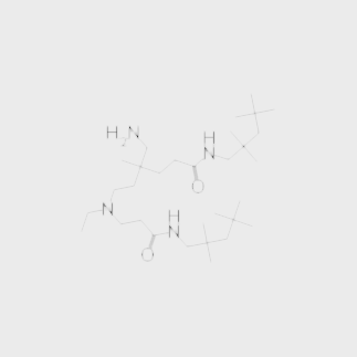 CCN(CCC(=O)NCC(C)(C)CC(C)(C)C)CCC(C)(CN)CCC(=O)NCC(C)(C)CC(C)(C)C